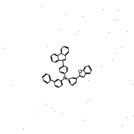 c1ccc(-c2cccc(N(c3ccc(-c4cc5ccccc5c5ccccc45)cc3)c3cccc(-c4cc5ccccc5o4)c3)c2)cc1